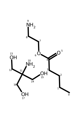 CCCCC(=O)OCCN.NC(CO)(CO)CO